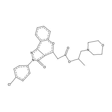 CC(CN1CCOCC1)OC(=O)Cc1oc2ccccc2c2nn(-c3ccc(Cl)cc3)c(=O)c1-2